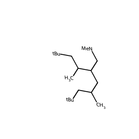 CNCC(CC(C)CC(C)(C)C)C(C)CC(C)(C)C